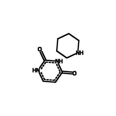 C1CCNCC1.O=c1cc[nH]c(=O)[nH]1